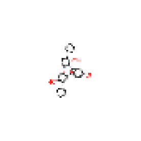 Oc1cc2c(O)c(c1)C(c1cccc(-c3ccccc3)c1O)C2c1ccc(O)c(-c2ccccc2)c1